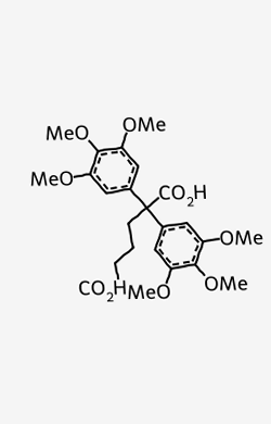 COc1cc(C(CCCC(=O)O)(C(=O)O)c2cc(OC)c(OC)c(OC)c2)cc(OC)c1OC